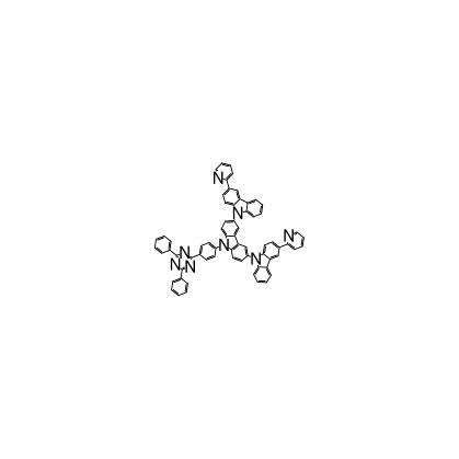 c1ccc(-c2nc(-c3ccccc3)nc(-c3ccc(-n4c5ccc(-n6c7ccccc7c7cc(-c8ccccn8)ccc76)cc5c5cc(-n6c7ccccc7c7cc(-c8ccccn8)ccc76)ccc54)cc3)n2)cc1